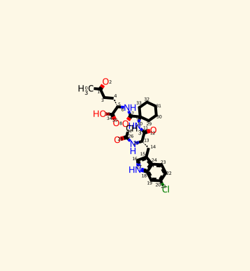 CC(=O)CC[C@H](NC(=O)C1(NC(=O)[C@H](Cc2c[nH]c3cc(Cl)ccc23)NC(C)=O)CCCCC1)C(=O)O